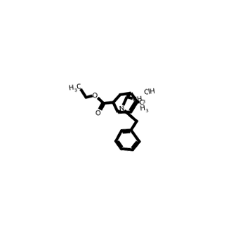 CCOC(=O)C1CC2C(C)=CC1N(Cc1ccccc1)C2C.Cl